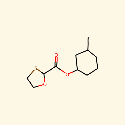 CC1CCCC(OC(=O)C2OCCS2)C1